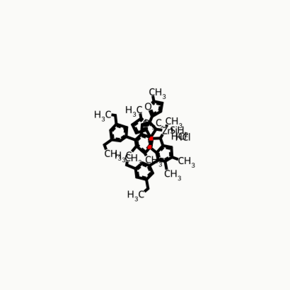 CCc1cc(CC)cc(-c2c(C)c(C)cc3c2C=C(c2ccc(C)o2)[CH]3[Zr]([CH3])([CH3])(=[SiH2])[CH]2C(c3ccc(C)o3)=Cc3c2cc(C)c(C)c3-c2cc(CC)cc(CC)c2)c1.Cl.Cl